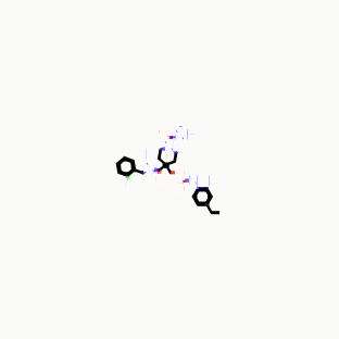 CCc1ccc(NC(=O)OCC2(C(=O)NCc3ccccc3Cl)CCN(C(=O)NC)CC2)cc1